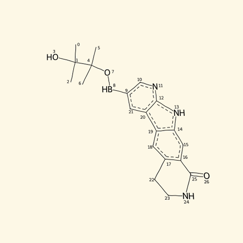 CC(C)(O)C(C)(C)OBc1cnc2[nH]c3cc4c(cc3c2c1)CCNC4=O